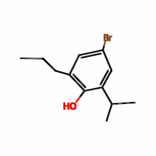 CCCc1cc(Br)cc(C(C)C)c1O